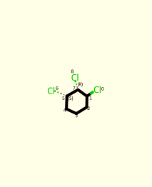 ClC1CCC[C@H](Cl)[C@@H]1Cl